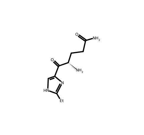 CCc1nc(C(=O)[C@@H](N)CCC(N)=O)c[nH]1